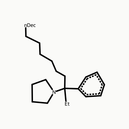 CCCCCCCCCCCCCCCCC(CC)(c1ccccc1)N1CCCC1